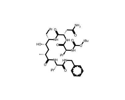 CC(C)C[C@H](NC(=O)[C@H](CC(N)=O)NC(=O)[C@@H](NC(=O)OC(C)(C)C)C(C)C)[C@@H](O)C[C@@H](C)C(=O)N[C@H](C(=O)NCc1ccccc1)C(C)C